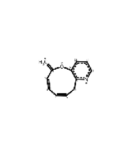 C=C1/C=C\C=C/Cc2ncccc2O1